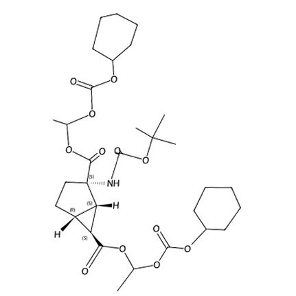 CC(OC(=O)OC1CCCCC1)OC(=O)[C@H]1[C@@H]2CC[C@@](NC(=O)OC(C)(C)C)(C(=O)OC(C)OC(=O)OC3CCCCC3)[C@@H]21